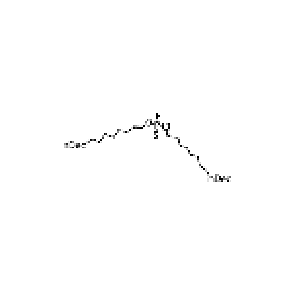 CCCCCCCCCCCCCCCCCCOP(F)(=S)OCCCCCCCCCCCCCCCCCC